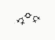 CC(C)C1(C)CC(Oc2ccc(OC3CC(C)(C)NC(C)(C(C)C)C3)cc2)CC(C)(C)N1